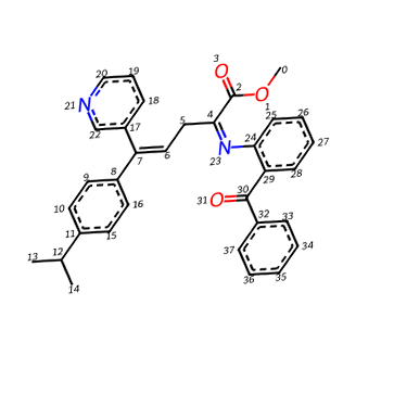 COC(=O)C(CC=C(c1ccc(C(C)C)cc1)c1cccnc1)=Nc1ccccc1C(=O)c1ccccc1